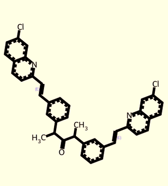 CC(C(=O)C(C)c1cccc(/C=C/c2ccc3ccc(Cl)cc3n2)c1)c1cccc(/C=C/c2ccc3ccc(Cl)cc3n2)c1